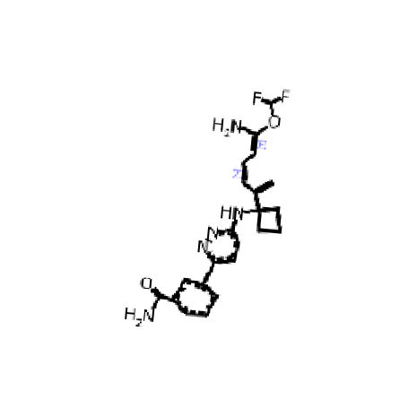 C=C(/C=C\C=C(/N)OC(F)F)C1(Nc2ccc(-c3cccc(C(N)=O)c3)nn2)CCC1